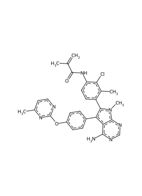 C=C(C)C(=O)Nc1ccc(-c2c(-c3ccc(Oc4nccc(C)n4)cc3)c3c(N)ncnc3n2C)c(C)c1Cl